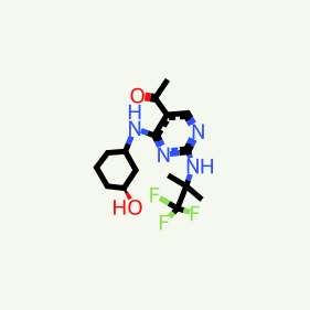 CC(=O)c1cnc(NC(C)(C)C(F)(F)F)nc1NC1CCC[C@H](O)C1